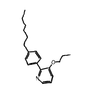 CCCCCCc1ccc(-c2ncccc2OCCC)cc1